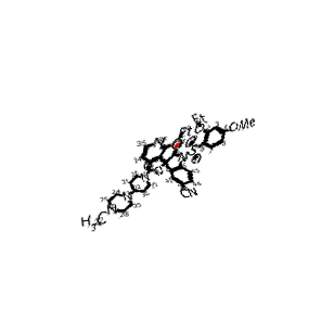 CCOc1cc(OC)ccc1S(=O)(=O)N1C(=O)C(OC(=O)N2CCC(N3CCN(C)CC3)CC2)(c2cccnc2OCC)c2cc(C#N)ccc21